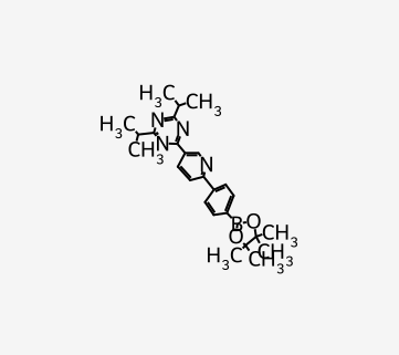 CC(C)c1nc(-c2ccc(-c3ccc(B4OC(C)(C)C(C)(C)O4)cc3)nc2)nc(C(C)C)n1